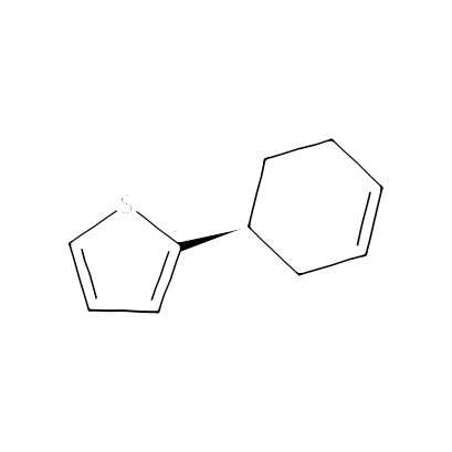 C1=CC[C@@H](c2cccs2)CC1